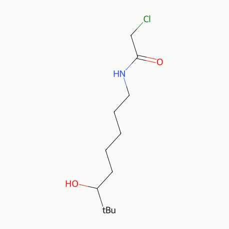 CC(C)(C)C(O)CCCCCNC(=O)CCl